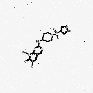 CC(C)n1c(=O)c(Cl)cc2cnc(NC3CCN(S(=O)(=O)c4cn[nH]c4)CC3)nc21